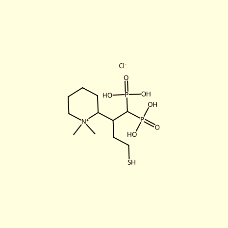 C[N+]1(C)CCCCC1C(CCS)C(P(=O)(O)O)P(=O)(O)O.[Cl-]